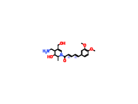 COc1ccc(/C=C/C=C/C(=O)N2C=C(CO)C(CN)=C(O)C2C)cc1OC